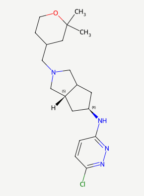 CC1(C)CC(CN2CC3C[C@@H](Nc4ccc(Cl)nn4)C[C@@H]3C2)CCO1